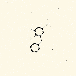 O=[N+]([O-])c1cc(Cc2ccccc2)c(O)c([N+](=O)[O-])c1